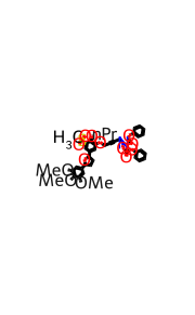 CCCOc1c(OCC#CCN(OC(=O)Oc2ccccc2)C(=O)Oc2ccccc2)cc(C2CCC(c3cc(OC)c(OC)c(OC)c3)O2)cc1S(C)(=O)=O